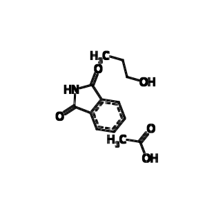 CC(=O)O.CCCO.O=C1NC(=O)c2ccccc21